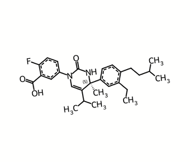 CCc1cc([C@]2(C)NC(=O)N(c3ccc(F)c(C(=O)O)c3)C=C2C(C)C)ccc1CCC(C)C